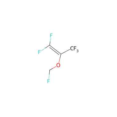 FCOC(=C(F)F)C(F)(F)F